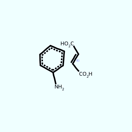 Nc1ccccc1.O=C(O)/C=C/C(=O)O